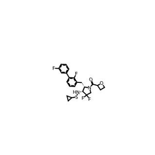 O=C(C1CCO1)N1CC(F)(F)[C@H](NSC2CC2)[C@@H]1Cc1cccc(-c2cccc(F)c2)c1F